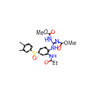 CCC(=O)Nc1cc([S+]([O-])c2ccc(C)c(C)c2)ccc1NC(=NC(=O)OC)NC(=O)OC